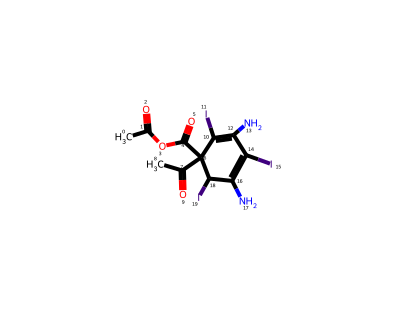 CC(=O)OC(=O)C1(C(C)=O)C(I)=C(N)C(I)=C(N)C1I